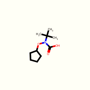 CC(C)(C)N(OC1CCCC1)C(=O)O